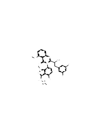 COc1cccc2nc(C(N)Cc3cc(F)cc(F)c3)n(-c3ccc(Cl)c4c(NS(C)(=O)=O)nn(C)c34)c(=O)c12